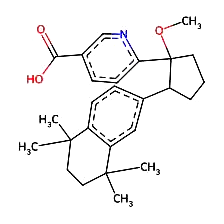 COC1(c2ccc(C(=O)O)cn2)CCCC1c1ccc2c(c1)C(C)(C)CCC2(C)C